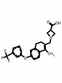 CC1=C(CN2CC(C(=O)O)C2)CCc2cc(Oc3cccc(C(F)(F)F)c3)ccc21